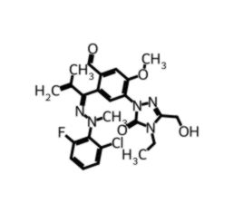 C=C(C)/C(=N/N(C)c1c(F)cccc1Cl)c1cc(-n2nc(CO)n(CC)c2=O)c(OC)cc1C=O